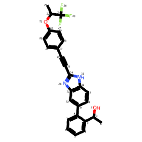 CC(O)c1ccccc1-c1ccc2[nH]c(C#Cc3ccc(OC(C)C(F)(F)F)cc3)nc2c1